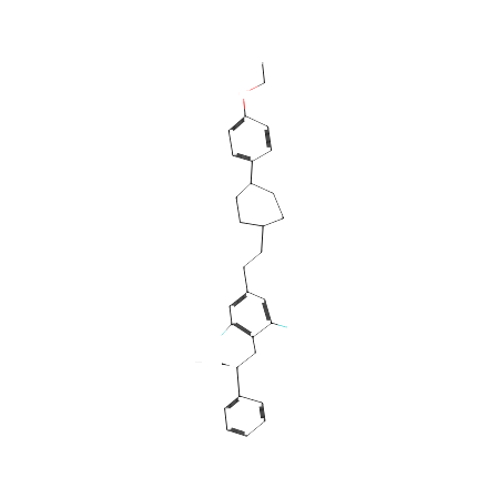 CCOc1ccc(C2CCC(CCc3cc(F)c(C[C@H](C)c4ccccc4)c(F)c3)CC2)cc1